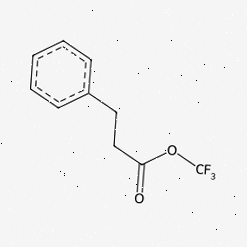 O=C(CCc1ccccc1)OC(F)(F)F